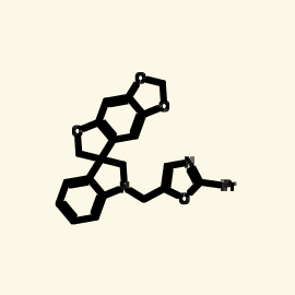 CC(C)c1ncc(CN2CC3(COc4cc5c(cc43)OCO5)c3ccccc32)o1